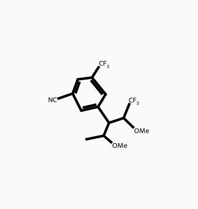 COC(C)C(c1cc(C#N)cc(C(F)(F)F)c1)C(OC)C(F)(F)F